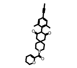 CC#Cc1cc(C)c(C2C(=O)CC3(CCN(C(=O)C4=CCCCO4)CC3)CC2=O)c(C)c1